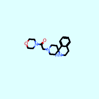 O=C(CN1CCC2(CC1)NCCc1ccccc12)N1CCOCC1